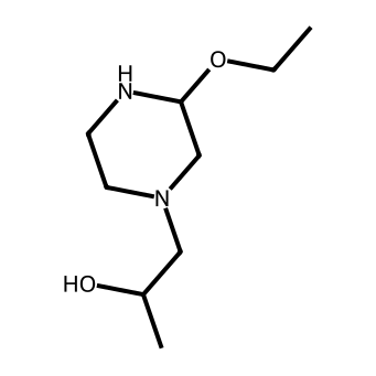 CCOC1CN(CC(C)O)CCN1